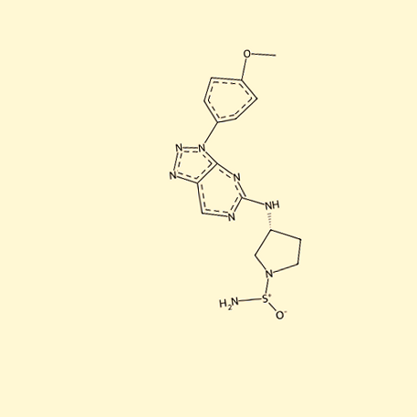 COc1ccc(-n2nnc3cnc(N[C@@H]4CCN([S+](N)[O-])C4)nc32)cc1